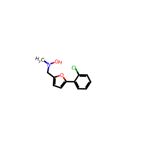 CN(O)Cc1ccc(-c2ccccc2Cl)o1